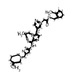 COc1ccccc1CNC(=O)Cn1cc(-c2cnc3c(Nc4cc(CN5CCCC(C)C5)ns4)nc(C)cn23)cn1